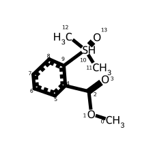 COC(=O)c1ccccc1[SH](C)(C)=O